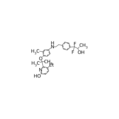 CCc1ccc(O)nc1C(C)(C)Oc1ccc(NCCc2ccc(C(F)(F)C(C)O)cc2)cc1C